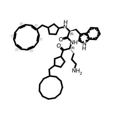 NCCC[C@@H](NC(=O)[C@H](Cc1c[nH]c2ccccc12)NC1CCC(CC2=C/C=C\C=C/C=C\C=C/C=C\2)C1)C(=O)C1CCC(CC2CCCCCCCCCC2)C1